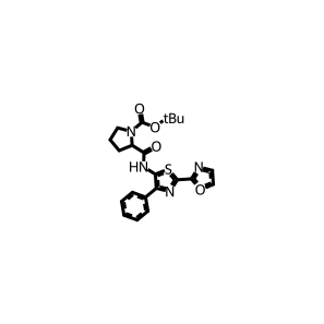 CC(C)(C)OC(=O)N1CCCC1C(=O)Nc1sc(-c2ncco2)nc1-c1ccccc1